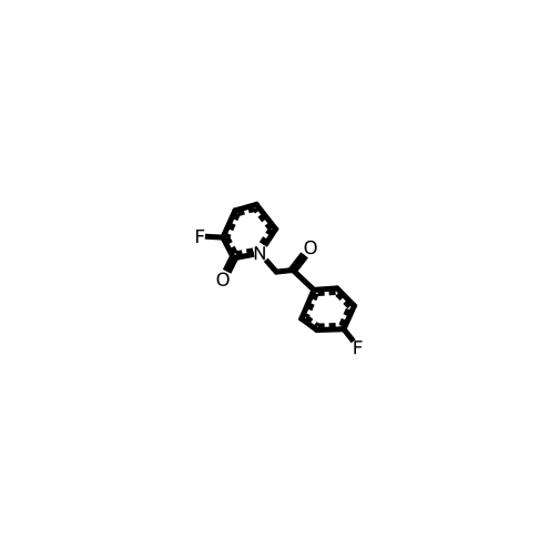 O=C(Cn1cccc(F)c1=O)c1ccc(F)cc1